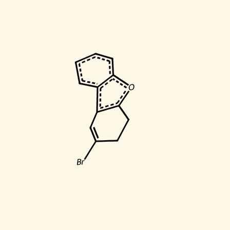 BrC1=Cc2c(oc3ccccc23)CC1